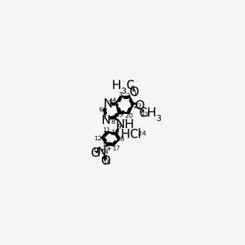 COc1cc2ncnc(Nc3ccc([N+](=O)[O-])cc3)c2cc1OC.Cl